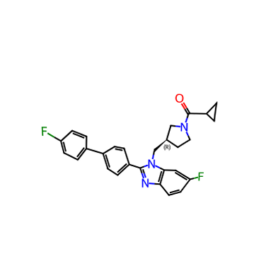 O=C(C1CC1)N1CC[C@@H](Cn2c(-c3ccc(-c4ccc(F)cc4)cc3)nc3ccc(F)cc32)C1